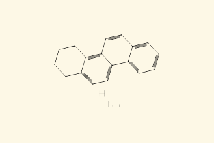 [Na+].[OH-].c1ccc2c(c1)ccc1c3c(ccc12)CCCC3